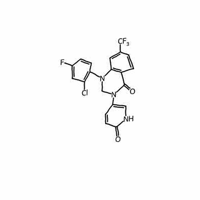 O=C1c2ccc(C(F)(F)F)cc2N(c2ccc(F)cc2Cl)CN1c1ccc(=O)[nH]c1